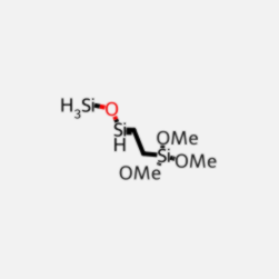 CO[Si](CC=[SiH]O[SiH3])(OC)OC